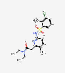 CCN(CC)C(=O)Cc1nc(NS(=O)(=O)c2cccc(Cl)c2C)ccc1C